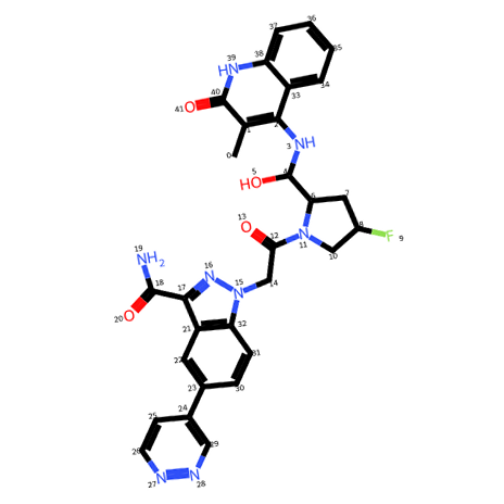 Cc1c(NC(O)C2CC(F)CN2C(=O)Cn2nc(C(N)=O)c3cc(-c4ccnnc4)ccc32)c2ccccc2[nH]c1=O